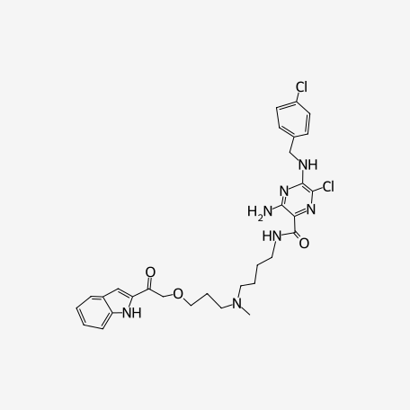 CN(CCCCNC(=O)c1nc(Cl)c(NCc2ccc(Cl)cc2)nc1N)CCCOCC(=O)c1cc2ccccc2[nH]1